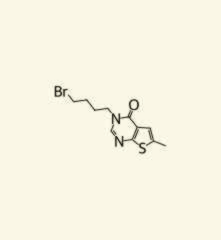 Cc1cc2c(=O)n(CCCCBr)cnc2s1